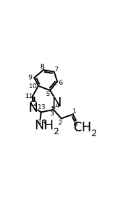 C=CCC1=Nc2ccccc2C=NC1N